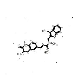 Cc1c(CN(C)C(=O)/C=C/c2cnc3c(c2)CC(N)C(=O)N3)oc2ccccc12.Cl